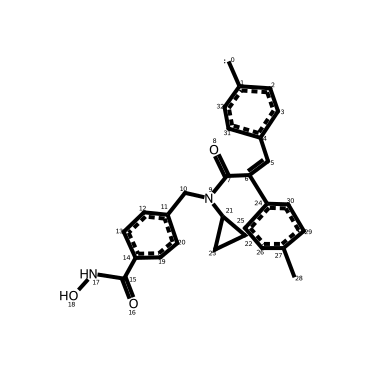 [CH]c1ccc(C=C(C(=O)N(Cc2ccc(C(=O)NO)cc2)C2CC2)c2ccc(C)cc2)cc1